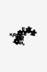 COc1ccc(NC(=O)c2cc(-n3ccnc3)ccn2)cc1S(=O)(=O)Nc1c(C)cccc1C